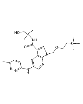 Cc1ccc(Nc2cnc3c(n2)c(C(=O)NC(C)(C)CO)cn3COCC[Si](C)(C)C)nc1